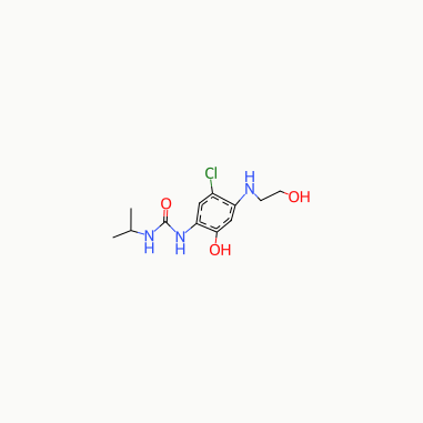 CC(C)NC(=O)Nc1cc(Cl)c(NCCO)cc1O